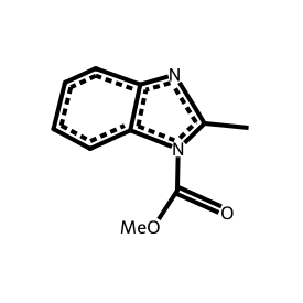 COC(=O)n1c(C)nc2ccccc21